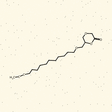 CCCCCCCCCCCCCCOCC1COCC(=O)O1